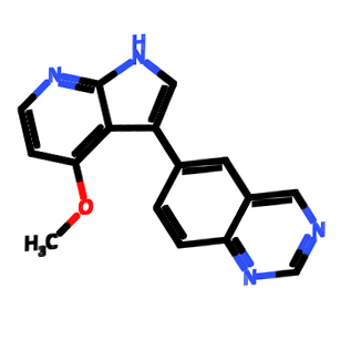 COc1ccnc2[nH]cc(-c3ccc4ncncc4c3)c12